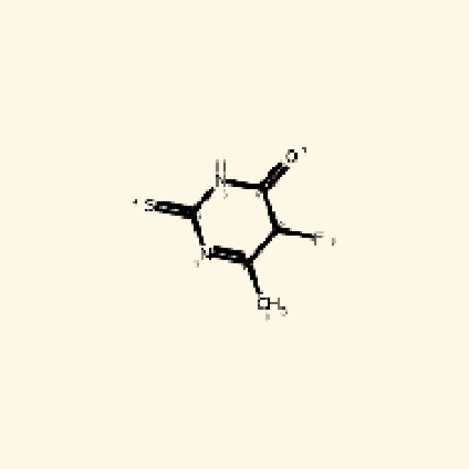 CC1=NC(=S)NC(=O)C1F